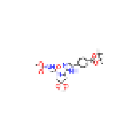 COC(=O)NCC(=O)N1CC2(CC1c1ncc(-c3ccc(B4OC(C)(C)C(C)(C)O4)cc3)[nH]1)OCCO2